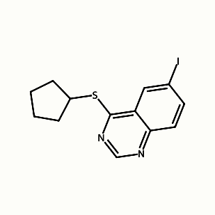 Ic1ccc2ncnc(SC3CCCC3)c2c1